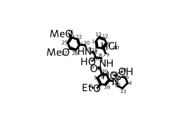 CCOc1cc(C(=O)N[C@@H](Cc2ccccc2)[C@@H](O)CNCc2cc(OC)cc(OC)c2)cc(N2CCCCS2(O)O)c1.Cl